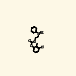 CCN(CCOC(=O)Oc1cccc(Cl)c1C)c1ccccc1